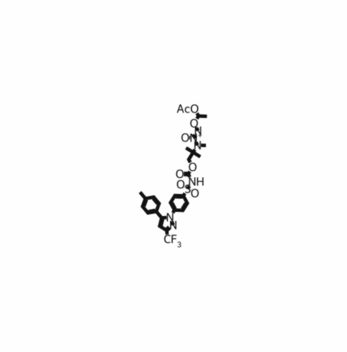 CC(=O)OC(C)O/N=[N+](\[O-])N(C)C(C)(C)COC(=O)NS(=O)(=O)c1ccc(-n2nc(C(F)(F)F)cc2-c2ccc(C)cc2)cc1